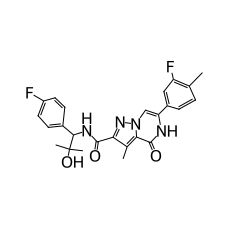 Cc1ccc(-c2cn3nc(C(=O)NC(c4ccc(F)cc4)C(C)(C)O)c(C)c3c(=O)[nH]2)cc1F